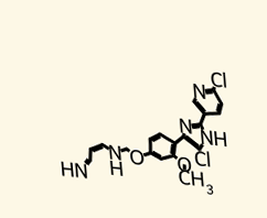 COc1cc(OCN/C=C\C=N)ccc1-c1nc(-c2ccc(Cl)nc2)[nH]c1Cl